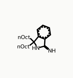 CCCCCCCCC1(CCCCCCCC)NC(=N)c2ccccc21